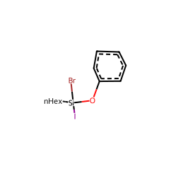 CCCCCC[Si](Br)(I)Oc1ccccc1